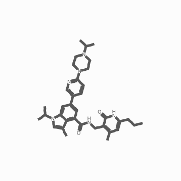 CCCc1cc(C)c(CNC(=O)c2cc(-c3ccc(N4CCN(C(C)C)CC4)nc3)cc3c2c(C)cn3C(C)C)c(=O)[nH]1